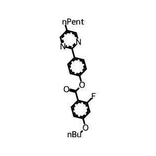 CCCCCc1cnc(-c2ccc(OC(=O)c3ccc(OCCCC)cc3F)cc2)nc1